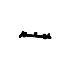 CCCCC(CCCC)CCOC(=O)CCCCCCCCCCCC(CCCCCCCCCCCC(=O)OCCC(CCCC)CCCC)CN(C)C(C)C